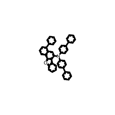 c1ccc(-c2ccc(N(c3ccc(-c4ccccc4)cc3)c3cc4c(-c5ccccc5)cccc4c4oc5ccccc5c34)cc2)cc1